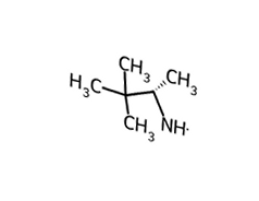 C[C@H]([NH])C(C)(C)C